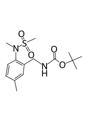 Cc1ccc(N(C)S(C)(=O)=O)c(CNC(=O)OC(C)(C)C)c1